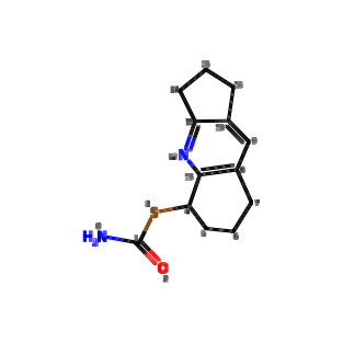 NC(=O)SC1CCCc2cc3c(nc21)CCC3